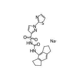 O=C(Nc1c2c(cc3c1CCC3)CCC2)NS(=O)(=O)c1ccn(-c2nccs2)n1.[Na]